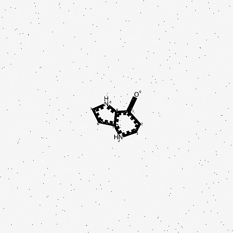 O=c1cc[nH]c2cc[nH]c12